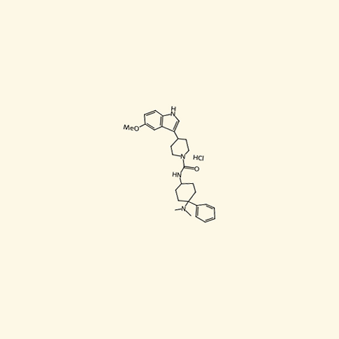 COc1ccc2[nH]cc(C3CCN(C(=O)NC4CCC(c5ccccc5)(N(C)C)CC4)CC3)c2c1.Cl